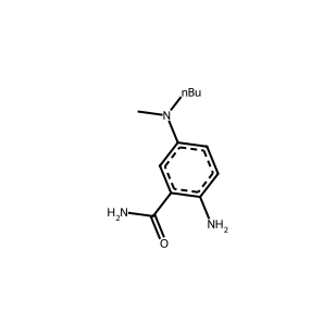 CCCCN(C)c1ccc(N)c(C(N)=O)c1